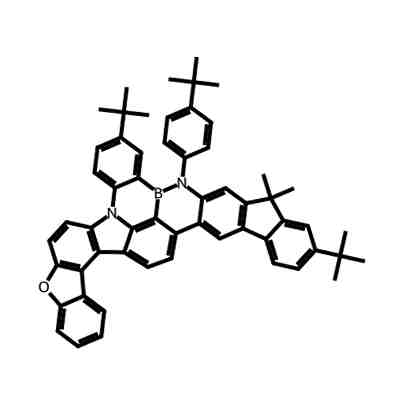 CC(C)(C)c1ccc(N2B3c4cc(C(C)(C)C)ccc4-n4c5ccc6oc7ccccc7c6c5c5ccc(c3c54)-c3cc4c(cc32)C(C)(C)c2cc(C(C)(C)C)ccc2-4)cc1